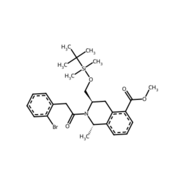 COC(=O)c1cccc2c1C[C@H](CO[Si](C)(C)C(C)(C)C)N(C(=O)Cc1ccccc1Br)[C@H]2C